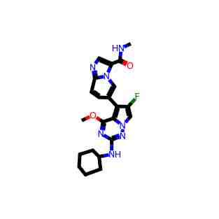 CNC(=O)c1cnc2ccc(-c3c(F)cn4nc(NC5CCCCC5)nc(OC)c34)cn12